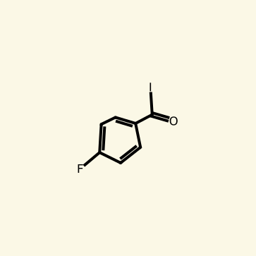 O=C(I)c1ccc(F)cc1